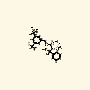 COc1ccccc1C(C)(O)CC(N)OCc1cc(C(F)(F)F)cc(C(F)(F)F)c1